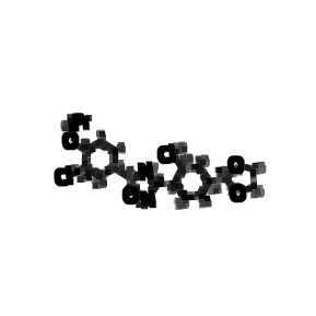 CC(C)Oc1ccc(-c2nc(-c3ccc(C4OCCO4)cc3Cl)no2)cc1Cl